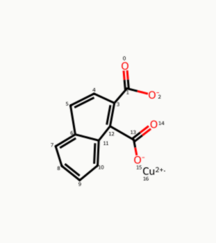 O=C([O-])c1ccc2ccccc2c1C(=O)[O-].[Cu+2]